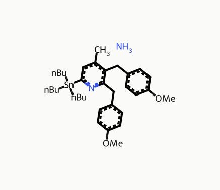 CCC[CH2][Sn]([CH2]CCC)([CH2]CCC)[c]1cc(C)c(Cc2ccc(OC)cc2)c(Cc2ccc(OC)cc2)n1.N